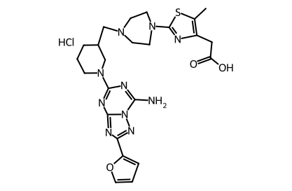 Cc1sc(N2CCN(CC3CCCN(c4nc(N)n5nc(-c6ccco6)nc5n4)C3)CC2)nc1CC(=O)O.Cl